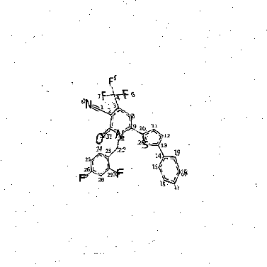 N#Cc1c(C(F)(F)F)cc(-c2ccc(-c3ccccc3)s2)n(Cc2ccc(F)cc2F)c1=O